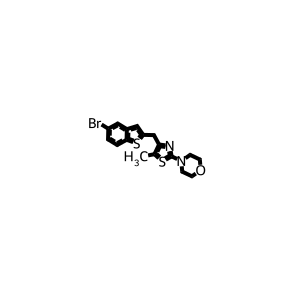 Cc1sc(N2CCOCC2)nc1Cc1cc2cc(Br)ccc2s1